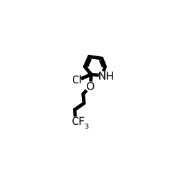 FC(F)(F)CCCOC1(Cl)C=CC=CN1